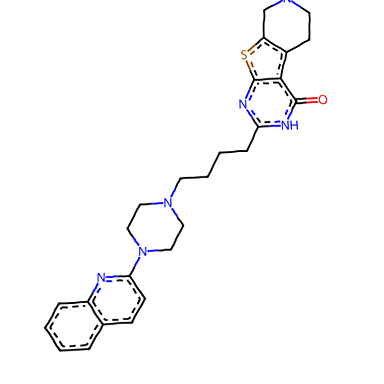 O=c1[nH]c(CCCCN2CCN(c3ccc4ccccc4n3)CC2)nc2sc3c(c12)CCNC3